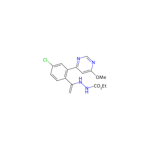 C=C(NNC(=O)OCC)c1ccc(Cl)cc1-c1cc(OC)ncn1